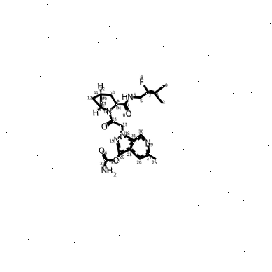 CC(C)=C(F)CNC(=O)[C@@H]1C[C@H]2C[C@H]2N1C(=O)Cn1nc(OC(N)=O)c2cc(C)ncc21